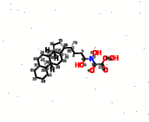 C[C@H](CCC(O)N(O)C(=O)C(=O)OO)[C@H]1CC[C@H]2[C@@H]3CCC4CCCC[C@]4(C)[C@H]3CC[C@]12C